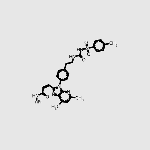 CCCNC(=O)/C=C\c1nc2c(C)cc(C)nc2n1-c1ccc(CCNC(=O)NS(=O)(=O)c2ccc(C)cc2)cc1